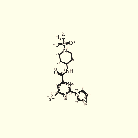 CS(=O)(=O)N1CCC(NC(=O)c2cc(C(F)(F)F)nc(-n3ccnc3)n2)CC1